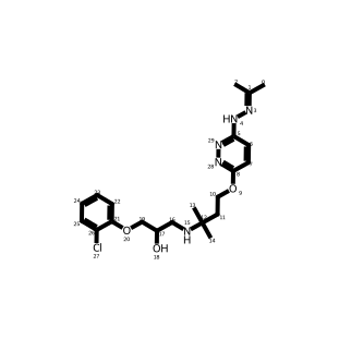 CC(C)=NNc1ccc(OCCC(C)(C)NCC(O)COc2ccccc2Cl)nn1